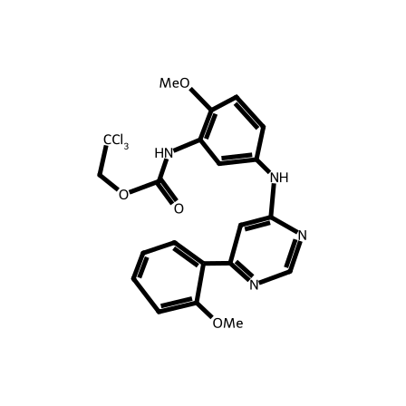 COc1ccc(Nc2cc(-c3ccccc3OC)ncn2)cc1NC(=O)OCC(Cl)(Cl)Cl